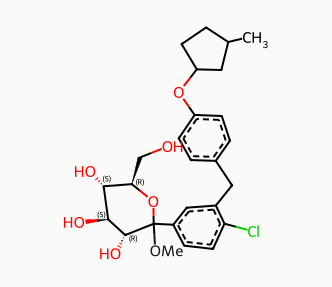 COC1(c2ccc(Cl)c(Cc3ccc(OC4CCC(C)C4)cc3)c2)O[C@H](CO)[C@@H](O)[C@H](O)[C@H]1O